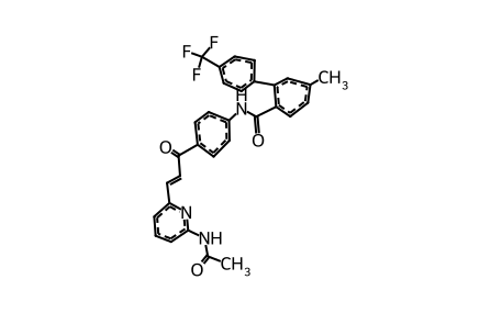 CC(=O)Nc1cccc(C=CC(=O)c2ccc(NC(=O)c3ccc(C)cc3-c3ccc(C(F)(F)F)cc3)cc2)n1